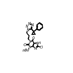 CCCCn1c(=O)n(CCCn2nnnc2C2(c3ccccc3)CC2)c(=O)c2[nH]c(Cl)nc21